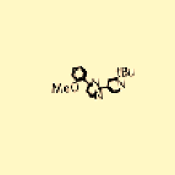 COc1ccccc1-c1ccnc(C2=CCN=C(C(C)(C)C)C2)n1